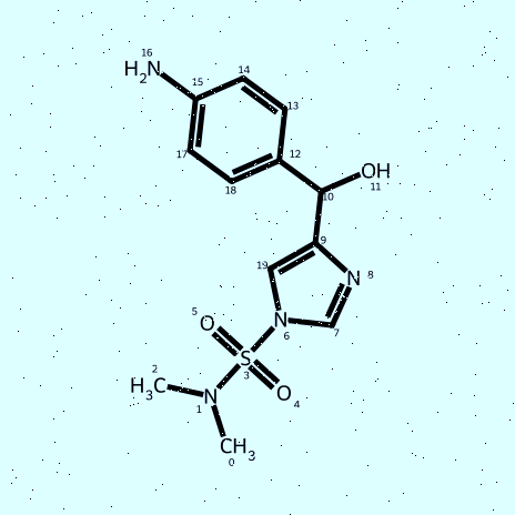 CN(C)S(=O)(=O)n1cnc(C(O)c2ccc(N)cc2)c1